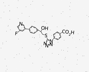 O=C(O)c1ccc(-n2nnnc2SCC(O)c2ccc(-c3cncc(F)c3)cc2)cc1